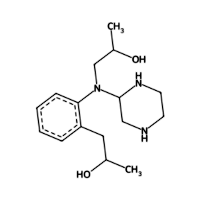 CC(O)Cc1ccccc1N(CC(C)O)C1CNCCN1